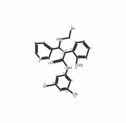 CC(C)CNC(c1cccnc1)[C@H](C(=O)Nc1cc(Cl)cc(C#N)c1)c1ccccc1C=O